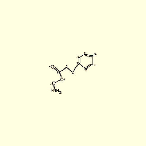 NOOC(=O)CCc1ccccc1